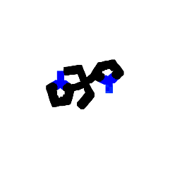 C=C[Si](C=C)(c1ccc[nH]1)c1ccc[nH]1